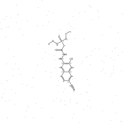 CCOP(=O)(CC(=O)NNc1nc2ccc(C#N)cc2nc1Cl)OCC